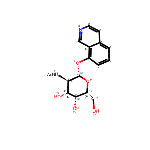 CC(=O)N[C@H]1[C@H](Oc2cccc3ccncc23)O[C@H](CO)[C@H](O)[C@@H]1O